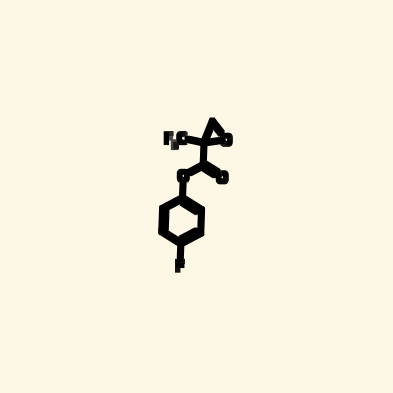 O=C(Oc1ccc(F)cc1)C1(C(F)(F)F)CO1